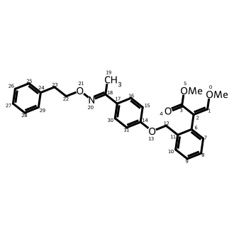 COC=C(C(=O)OC)c1ccccc1COc1ccc(C(C)=NOCCc2ccccc2)cc1